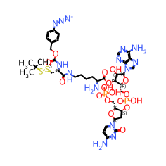 CC(C)(C)SSC[C@H](NC(=O)OCc1ccc(N=[N+]=[N-])cc1)C(=O)NCCCCC(N)C(=O)O[C@H]1[C@@H](O)[C@H](n2cnc3c(N)ncnc32)O[C@@H]1COP(=O)(O)O[C@H]1C[C@H](n2ccc(N)nc2=O)O[C@@H]1COP(=O)(O)O